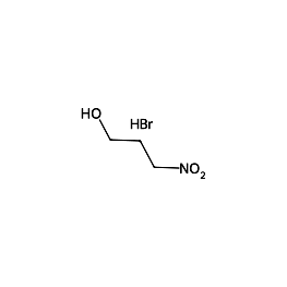 Br.O=[N+]([O-])CCCO